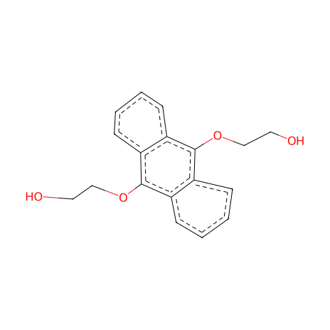 OCCOc1c2ccccc2c(OCCO)c2ccccc12